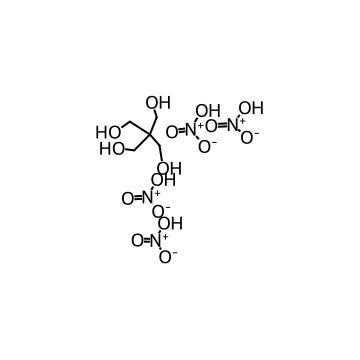 O=[N+]([O-])O.O=[N+]([O-])O.O=[N+]([O-])O.O=[N+]([O-])O.OCC(CO)(CO)CO